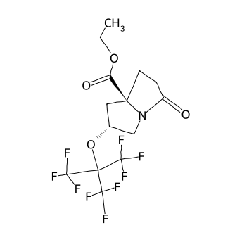 CCOC(=O)[C@@]12CCC(=O)N1C[C@H](OC(C(F)(F)F)(C(F)(F)F)C(F)(F)F)C2